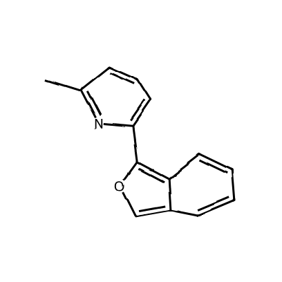 Cc1cccc(-c2occ3ccccc23)n1